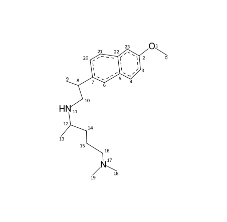 COc1ccc2cc(C(C)CNC(C)CCCN(C)C)ccc2c1